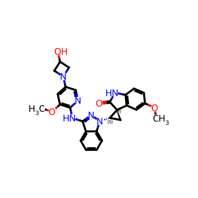 COc1ccc2c(c1)[C@@]1(C[C@@H]1n1nc(Nc3ncc(N4CC(O)C4)cc3OC)c3ccccc31)C(=O)N2